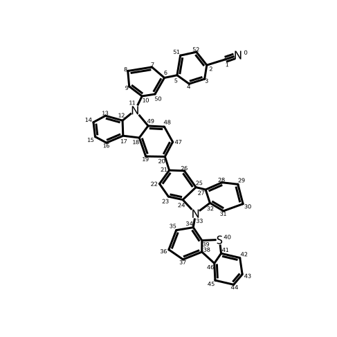 N#Cc1ccc(-c2cccc(-n3c4ccccc4c4cc(-c5ccc6c(c5)c5ccccc5n6-c5cccc6c5sc5ccccc56)ccc43)c2)cc1